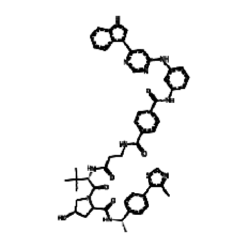 Cc1ncsc1-c1ccc([C@H](C)NC(=O)C2C[C@@H](O)CN2C(=O)[C@@H](NC(=O)CCNC(=O)c2ccc(C(=O)Nc3cccc(Nc4cc(-c5c[nH]c6ccccc56)ncn4)c3)cc2)C(C)(C)C)cc1